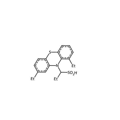 CCc1ccc2c(c1)N(C(CC)S(=O)(=O)O)c1c(CC)cccc1S2